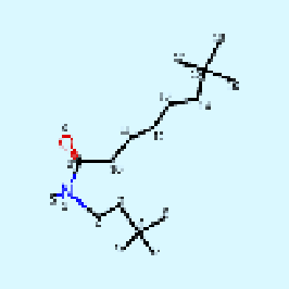 CN(CCC(C)(C)C)C(=O)CCCCCC(C)(C)C